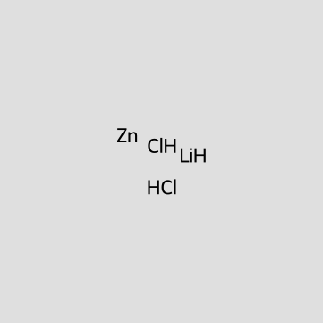 Cl.Cl.[LiH].[Zn]